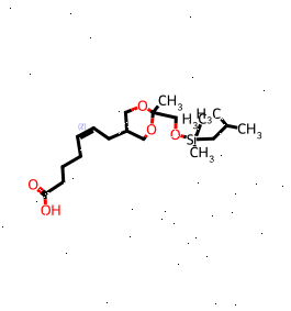 CC(C)C[Si](C)(C)OCC1(C)OCC(C/C=C\CCCC(=O)O)CO1